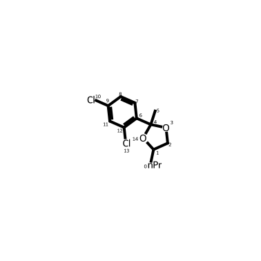 CCCC1COC(C)(c2ccc(Cl)cc2Cl)O1